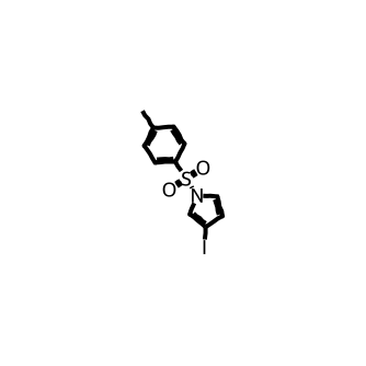 Cc1ccc(S(=O)(=O)n2ccc(I)c2)cc1